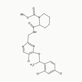 CC(Oc1nc(CNC(=O)C2CCCCN2C(=O)OC(C)(C)C)ncc1Cl)c1ccc(Cl)cc1Cl